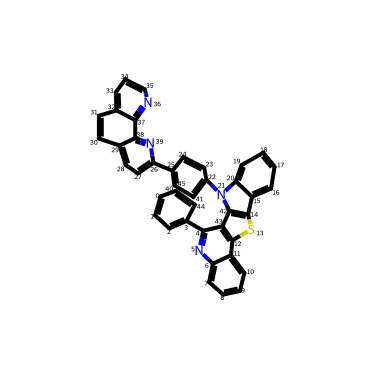 c1ccc(-c2nc3ccccc3c3sc4c5ccccc5n(-c5ccc(-c6ccc7ccc8cccnc8c7n6)cc5)c4c23)cc1